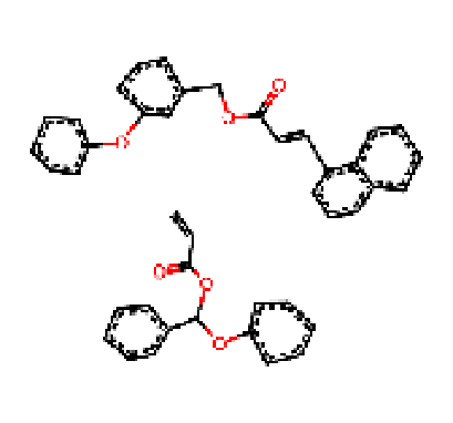 C=CC(=O)OC(Oc1ccccc1)c1ccccc1.O=C(C=Cc1cccc2ccccc12)OCc1cccc(Oc2ccccc2)c1